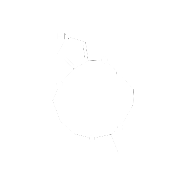 CC1OCCCOc2c[nH]cc2OCCCO1